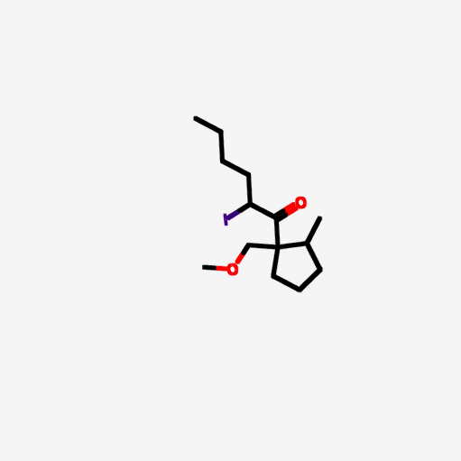 CCCCC(I)C(=O)C1(COC)CCCC1C